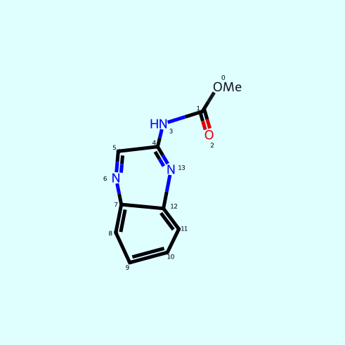 COC(=O)Nc1cnc2ccccc2n1